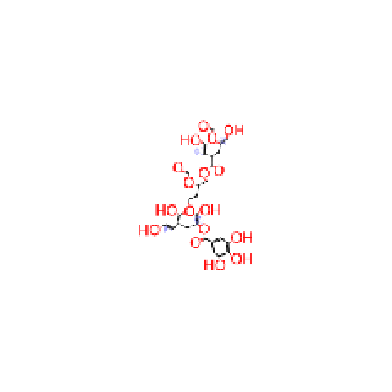 O=CO/C(=C\O)CC(/C=C/O)C(=O)OCC(CCOC(O)C(/C=C/O)C/C(=C/O)OC(=O)C1=CC(O)=C(O)C(O)C1)OC=O